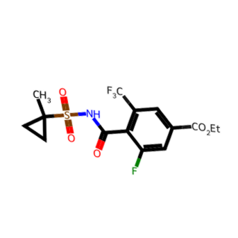 CCOC(=O)c1cc(F)c(C(=O)NS(=O)(=O)C2(C)CC2)c(C(F)(F)F)c1